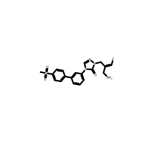 CS(=O)(=O)c1ccc(-c2cccc(-n3cnn(C/C(=C\F)CN)c3=O)c2)cc1